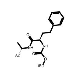 CC(=O)[C@H](C)NC(=O)[C@@H](CCc1ccccc1)NC(=O)OC(C)(C)C